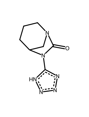 O=C1N2CCCC(C2)N1c1nnn[nH]1